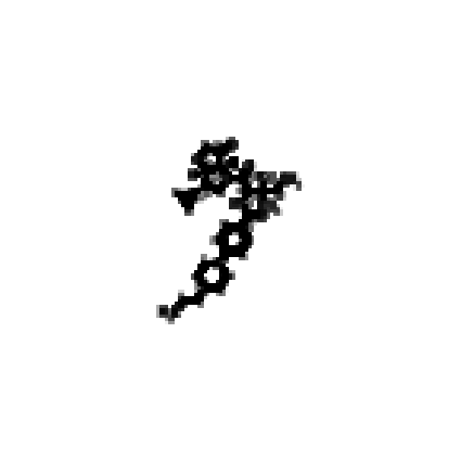 CCCN1CCN(c2ccc(C(=O)NC(C(=O)N3C[C@H](C4CC4)[C@H]4OCC(=O)[C@H]43)C(C)(C)CC)cc2)CC1